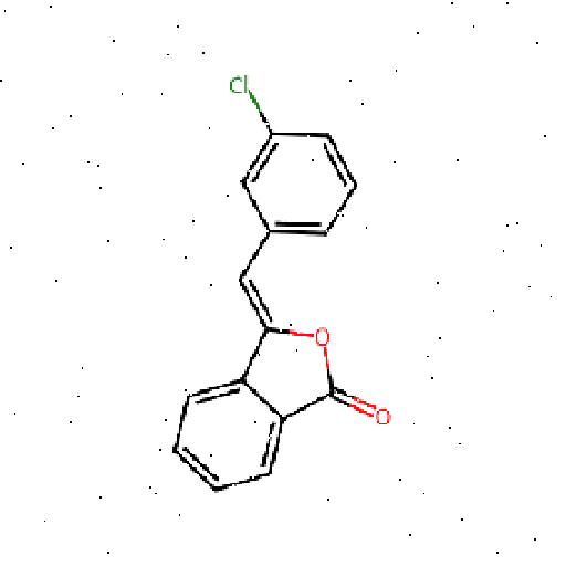 O=C1OC(=Cc2cccc(Cl)c2)c2ccccc21